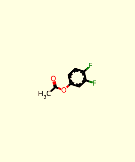 CC(=O)Oc1ccc(F)c(F)c1